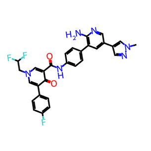 Cn1cc(-c2cnc(N)c(-c3ccc(NC(=O)c4cn(CC(F)F)cc(-c5ccc(F)cc5)c4=O)cc3)c2)cn1